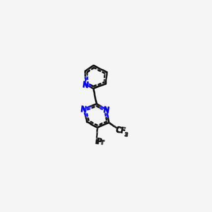 CC(C)c1cnc(-c2ccccn2)nc1C(F)(F)F